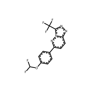 FC(F)Oc1ccc(-c2ccc3nnc(C(F)(F)F)n3n2)cc1